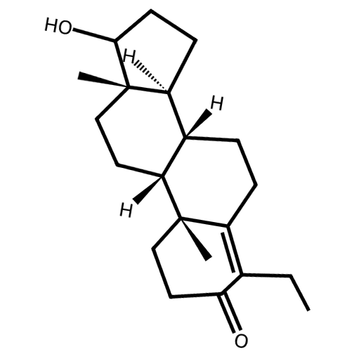 CCC1=C2CC[C@@H]3[C@@H](CC[C@]4(C)C(O)CC[C@@H]34)[C@@]2(C)CCC1=O